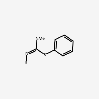 C/N=C(/NC)Sc1ccccc1